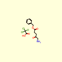 NCC(=O)CCC(=O)OCc1ccccc1.O=C(O)C(Cl)(Cl)Cl